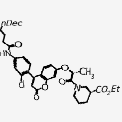 CCCCCCCCCCCCCC(=O)Nc1ccc(-c2cc(=O)oc3cc(O[C@H](C)C(=O)N4CCC[C@H](C(=O)OCC)C4)ccc23)c(Cl)c1